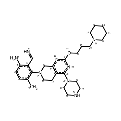 Cc1ccc(N)c(C=N)c1N1CCc2c(nc(OCCCN3CCCCC3)nc2N2CCNCC2)C1